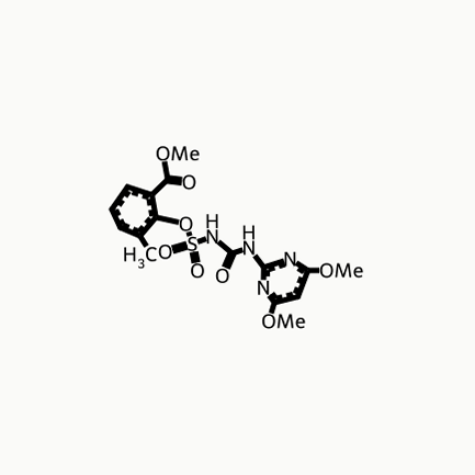 COC(=O)c1cccc(C)c1OS(=O)(=O)NC(=O)Nc1nc(OC)cc(OC)n1